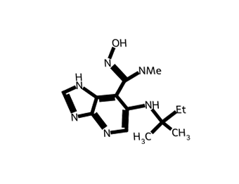 CCC(C)(C)Nc1cnc2nc[nH]c2c1C(=NO)NC